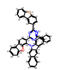 c1ccc(-c2nc(-c3ccc4sc5ccccc5c4c3)nc(-c3ccc4c(oc5ccccc54)c3-n3c4ccccc4c4cc5ccccc5cc43)n2)cc1